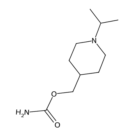 CC(C)N1CCC(COC(N)=O)CC1